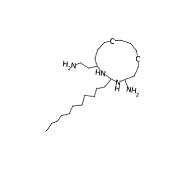 CCCCCCCCCCCC1NC(N)CCCCCCCCCCC(CCN)N1